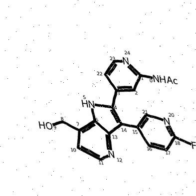 CC(=O)Nc1cc(-c2[nH]c3c(CO)ccnc3c2-c2ccc(F)nc2)ccn1